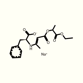 CCOC(=O)C(C)OC(=O)C=C(C)N[C@@H](Cc1ccccc1)C(=O)[O-].[Na+]